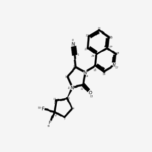 N#CC1CN([C@H]2CCC(F)(F)C2)C(=O)N1c1cncc2ccccc12